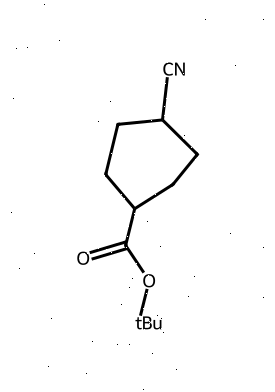 CC(C)(C)OC(=O)C1CCC(C#N)CC1